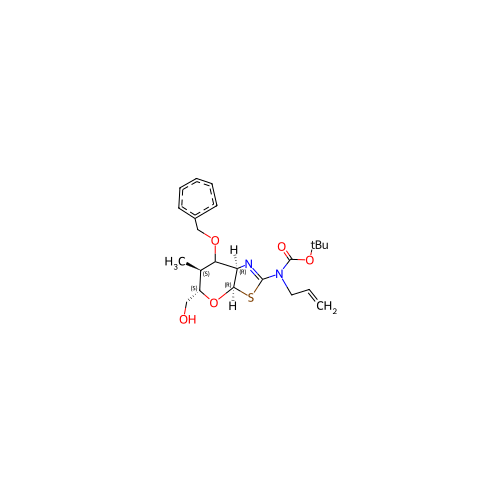 C=CCN(C(=O)OC(C)(C)C)C1=N[C@@H]2C(OCc3ccccc3)[C@H](C)[C@@H](CO)O[C@@H]2S1